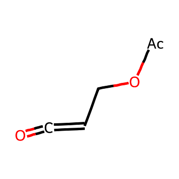 CC(=O)OCC=C=O